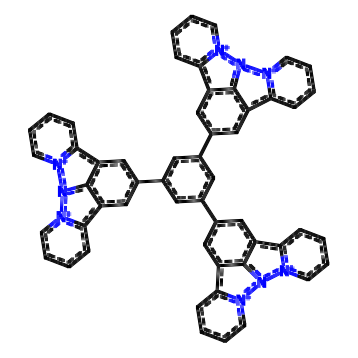 c1cc[n+]2c(c1)c1cc(-c3cc(-c4cc5c6c(c4)c4cccc[n+]4n6[n+]4ccccc54)cc(-c4cc5c6c(c4)c4cccc[n+]4n6[n+]4ccccc54)c3)cc3c1n2[n+]1ccccc31